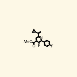 C=C(c1cc(C(=O)OC)c(F)c(-c2ccc(F)cc2)n1)C1CC1